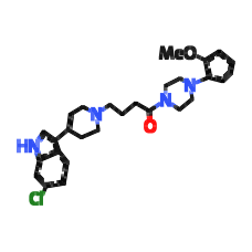 COc1ccccc1N1CCN(C(=O)CCCN2CC=C(c3c[nH]c4cc(Cl)ccc34)CC2)CC1